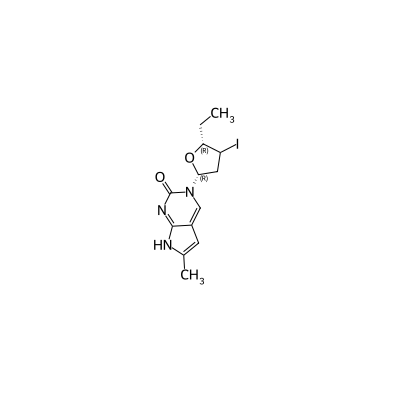 CC[C@H]1O[C@@H](n2cc3cc(C)[nH]c3nc2=O)CC1I